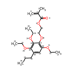 C=C(C)C(=O)OCCOc1c(OCC)cc(CCC)c(OCC)c1OCC